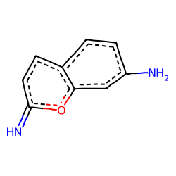 N=c1ccc2ccc(N)cc2o1